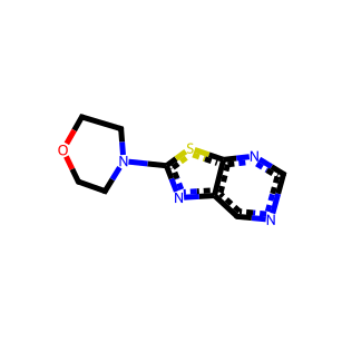 c1ncc2nc(N3CCOCC3)sc2n1